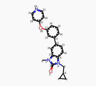 Cn1c(=O)n(CC2CC2)c2ccc(-c3cccc(Oc4ccncc4)c3)cc21